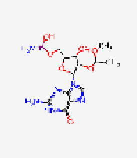 COC(C)O[C@@H]1[C@H](O)[C@@H](COP(N)O)O[C@H]1n1cnc2c(=O)[nH]c(N)nc21